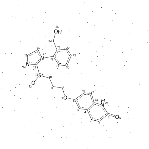 O=c1ccc2cc(OCCC[S+]([O-])c3nccn3-c3ccccc3CO)ccc2[nH]1